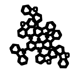 c1ccc2c(c1)oc1ccc(-c3cc4c(c5sc6ccccc6c35)B3c5c(cc(-n6c7ccccc7c7ccccc76)cc5N(c5cccc6oc7ccccc7c56)c5cc(-c6ccc7oc8ccccc8c7c6)c6c(sc7ccccc76)c53)N4c3cccc4oc5ccccc5c34)cc12